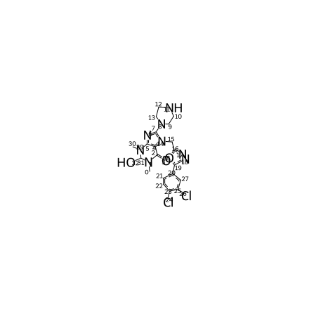 CN1C(=O)c2c(nc(N3CCNCC3)n2Cc2nnc(-c3ccc(Cl)c(Cl)c3)o2)N(C)C1O